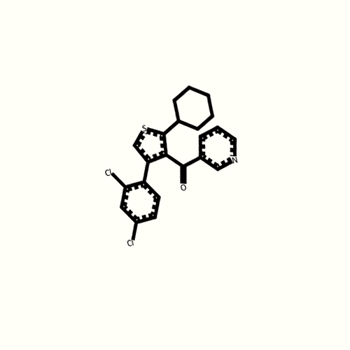 O=C(c1cccnc1)c1c(-c2ccc(Cl)cc2Cl)csc1C1CCCCC1